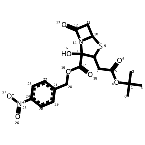 CC(C)(C)OC(=O)CC1SC2CC(=O)N2C1(O)C(=O)OCc1ccc([N+](=O)[O-])cc1